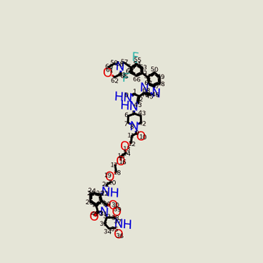 N=C/C(=C\NC1CCN(C(=O)CCOCCOCCOCCNc2cccc3c2C(=O)N(C2CCC(=O)NC2=O)C3=O)CC1)c1cnc2cccc(-c3cc(F)c(CN4CCOCC4)c(F)c3)c2n1